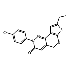 CCc1cc2c(s1)SCc1cc(=O)n(-c3ccc(Cl)cc3)nc1-2